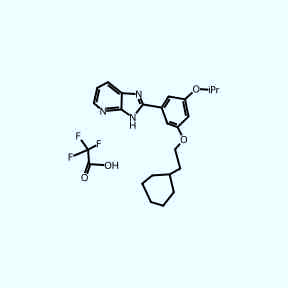 CC(C)Oc1cc(OCCC2CCCCC2)cc(-c2nc3cccnc3[nH]2)c1.O=C(O)C(F)(F)F